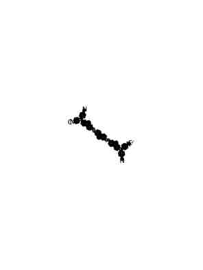 [C-]#[N+]c1ccc(N(c2ccc(C#N)cc2)c2ccc3c(c2)C(C)(C)c2cc(/C=C/c4ccc5c(c4)C(C)(C)c4cc(/C=C/c6ccc7c(c6)C(C)(C)c6cc(N(c8ccc(C#N)cc8)c8ccc([N+]#[C-])cc8)ccc6-7)ccc4-5)ccc2-3)cc1